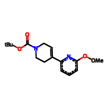 COOc1cccc(C2=CCN(C(=O)OC(C)(C)C)CC2)n1